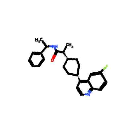 CC(NC(=O)C(C)[C@H]1CC[C@@H](c2ccnc3ccc(F)cc32)CC1)c1ccccc1